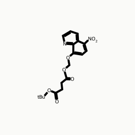 CC(C)(C)OC(=O)CCC(=O)OCOc1ccc([N+](=O)[O-])c2cccnc12